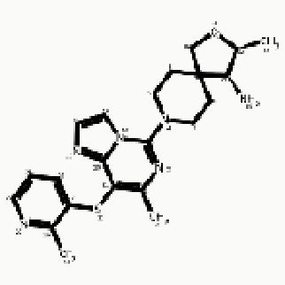 Cc1nc(N2CCC3(CC2)CO[C@@H](C)[C@H]3N)n2ccnc2c1Sc1cccnc1C(F)(F)F